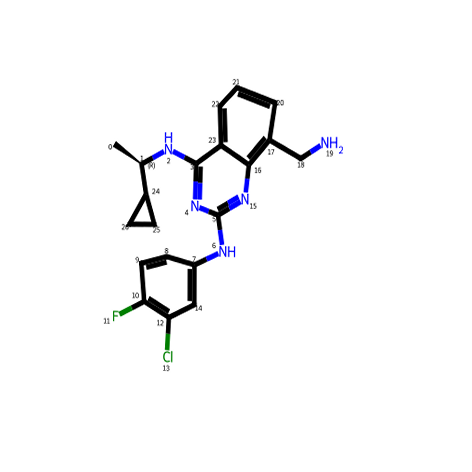 C[C@@H](Nc1nc(Nc2ccc(F)c(Cl)c2)nc2c(CN)cccc12)C1CC1